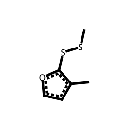 CSSc1occc1C